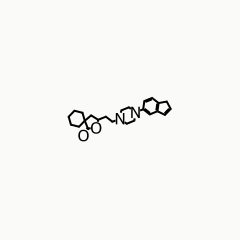 O=C1OC(CCN2CCN(c3ccc4c(c3)C=CC4)CC2)CC12CCCCC2